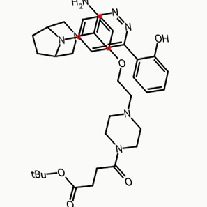 CC(C)(C)OC(=O)CCC(=O)N1CCN(CCOc2cccc(N3C4CCC3CN(c3cc(-c5ccccc5O)nnc3N)C4)c2)CC1